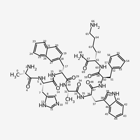 C[C@H](N)C(=O)N[C@@H](Cc1cnc[nH]1)C(=O)N[C@H](Cc1ccc2ccccc2c1)C(=O)N[C@@H](C)C(=O)N[C@@H](Cc1c[nH]c2ccccc12)C(=O)N[C@H](Cc1ccccc1)C(=O)N[C@@H](CCCCN)C(N)=O